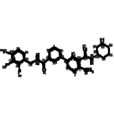 Nc1ncc(-c2cccc(C(=O)NCc3ccc(F)c(F)c3F)c2)nc1C(=O)N[C@H]1CCCNC1